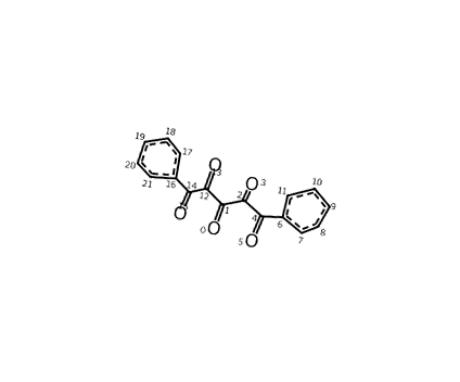 O=C(C(=O)C(=O)c1ccccc1)C(=O)C(=O)c1ccccc1